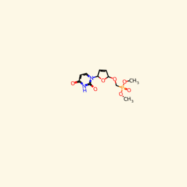 COP(=O)(COC1C=CC(n2ccc(=O)[nH]c2=O)O1)OC